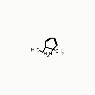 CCC1C=CC=CC1(C)N